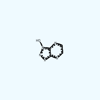 On1nnc2nccnc21